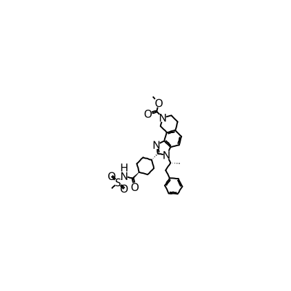 COC(=O)N1CCc2ccc3c(nc([C@H]4CC[C@H](C(=O)NS(C)(=O)=O)CC4)n3[C@H](C)Cc3ccccc3)c2C1